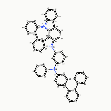 c1ccc(-c2ccccc2-c2ccc(N(c3ccccc3)c3cccc(-n4c5cccc6c7ccccc7n7c8ccccc8c8ccc4c(c65)c87)c3)cc2)cc1